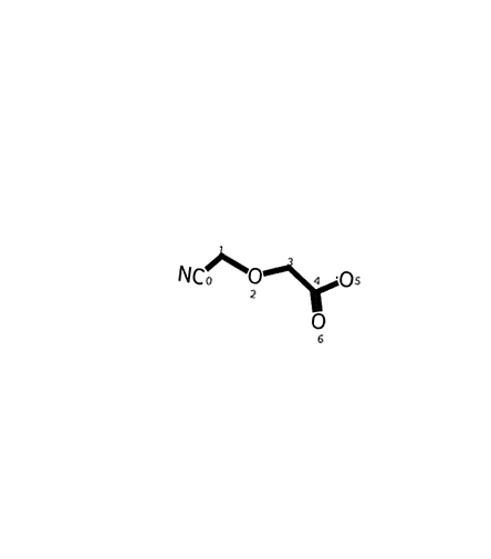 N#CCOCC([O])=O